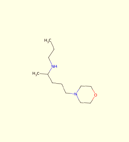 CCCNC(C)CCCN1CCOCC1